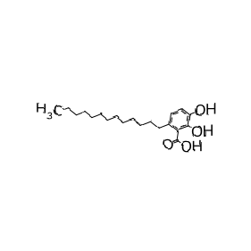 CCCCCCCCCCCCCc1ccc(O)c(O)c1C(=O)O